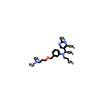 CCCN(c1cccc(COCCCN(C)C)c1)C(C)c1cnc(C)nc1C